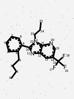 CCCCc1ccccc1-c1nc2cc(C(F)(F)F)cnc2n1CCC